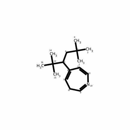 CC(C)(C)CC(C1=CCC=NC=C1)C(C)(C)C